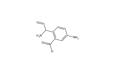 C=CC(N)c1ccc(N)cc1[N+](=O)[O-]